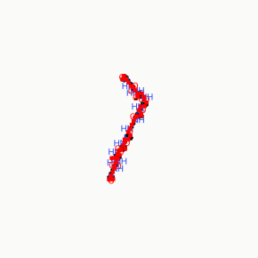 COc1cc(NS(=O)(=O)c2cccc(NC(=O)C[n+]3cc(C)cc(CONCCCCNC(=O)c4cc(C)c[n+](CC(=O)Nc5cccc(S(=O)(=O)Nc6ccc(NNC(=O)C(=O)NCCCN7CCOCC7)c(OC)c6)c5)c4)c3)c2)ccc1NNC(=O)C(=O)NCCCN1CCOCC1